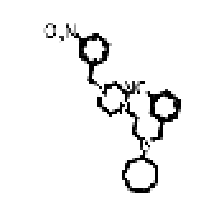 N#Cc1cccc(CN(CCN2CCN(Cc3cccc([N+](=O)[O-])c3)CC2)C2CCCCCC2)c1